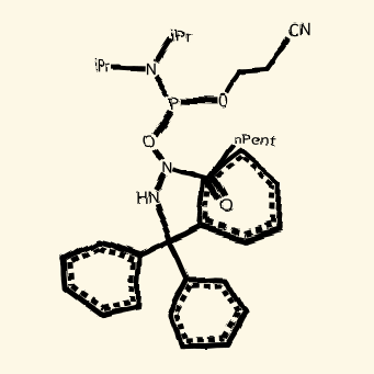 CCCCCC(=O)N(NC(c1ccccc1)(c1ccccc1)c1ccccc1)OP(OCCC#N)N(C(C)C)C(C)C